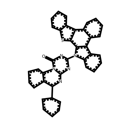 O=c1nc(-n2c3ccccc3c3c4ccccc4c4c5ccccc5sc4c32)nc2nc(-c3ccccc3)c3ccccc3n12